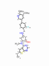 COc1cc(-c2ccc(CN[C@H]3C[C@@H](O)[C@@H](N(C)c4ncnc5sc(CC(F)(F)F)cc45)C3)c(F)c2)cnc1OC